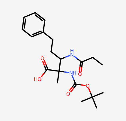 CCC(=O)NC(CCc1ccccc1)C(C)(NC(=O)OC(C)(C)C)C(=O)O